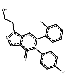 O=c1c2cnn(CCO)c2nc(-c2ccccc2F)n1-c1ccc(Br)cc1